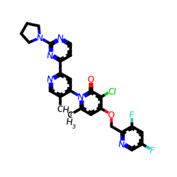 Cc1cnc(-c2ccnc(N3CCCC3)n2)cc1-n1c(C)cc(OCc2ncc(F)cc2F)c(Cl)c1=O